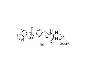 CC1(C)S[C@@H]2C(NC(=O)Cc3ccc(NC(=O)c4cnc5cccnc5c4O)cc3)C(=O)N2[C@H]1C(=O)[O-].[Na+]